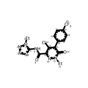 CCn1nnnc1NC(=O)c1nn(CC)c(=O)c(-c2ccc(C(F)(F)F)cc2)c1Cl